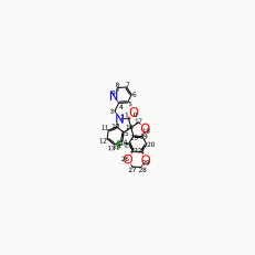 O=C1N(Cc2ccccn2)c2ccccc2C12COc1cc3c(c(F)c12)OCCO3